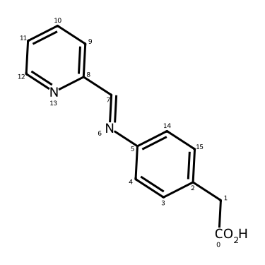 O=C(O)Cc1ccc(N=Cc2ccccn2)cc1